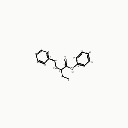 CCC(OCc1ccccc1)C(=O)Oc1ccccc1